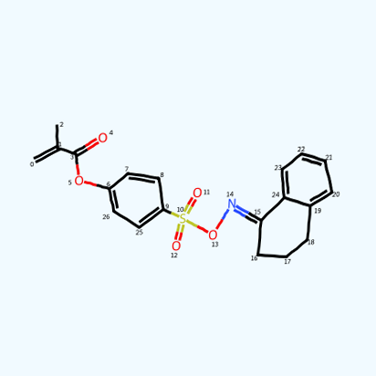 C=C(C)C(=O)Oc1ccc(S(=O)(=O)ON=C2CCCc3ccccc32)cc1